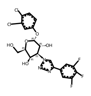 OC[C@H]1O[C@H](Oc2ccc(Cl)c(Cl)c2)[C@H](O)[C@@H](n2cc(-c3cc(F)c(F)c(F)c3)nn2)[C@H]1O